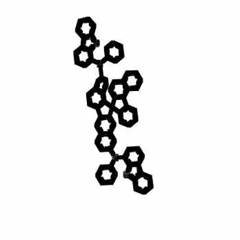 c1ccc(N(c2ccc3cc4c(cc3c2)C2(c3ccccc3-c3c2ccc2ccccc32)c2c-4ccc3cc(N(c4ccccc4)c4cccc5c4oc4ccccc45)ccc23)c2cccc3c2oc2ccccc23)cc1